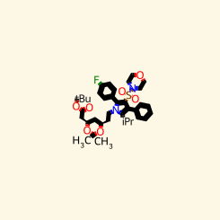 CC(C)c1c(-c2ccccc2)c(S(=O)(=O)N2CCOCC2)c(-c2ccc(F)cc2)n1CC[C@@H]1C[C@H](CC(=O)OC(C)(C)C)OC(C)(C)O1